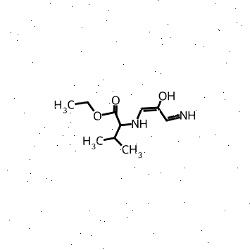 CCOC(=O)C(N/C=C(/O)C=N)C(C)C